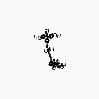 O=C(CCCCCCNc1cccc2c1C(=O)N(C1CCC(=O)NC1=O)C2=O)NCCOc1ccc(C(=C(CCCl)c2ccc(O)cc2)c2ccc(O)cc2)cc1